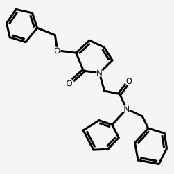 O=C(Cn1cccc(OCc2ccccc2)c1=O)N(Cc1ccccc1)c1ccccc1